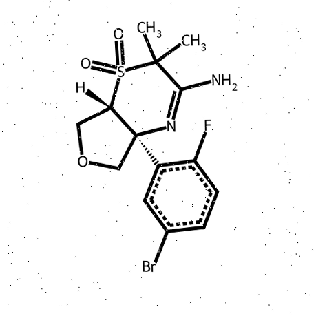 CC1(C)C(N)=N[C@@]2(c3cc(Br)ccc3F)COC[C@@H]2S1(=O)=O